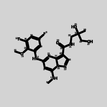 CNc1cc(Nc2cc(F)cc(F)c2OC)nc2c(C(=O)NCC(C)(O)CO)cnn12